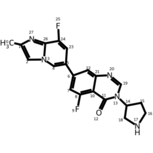 Cc1cn2cc(-c3cc(F)c4c(=O)n(C5CCNC5)cnc4c3)cc(F)c2n1